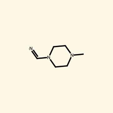 CN1CCN(C=[N])CC1